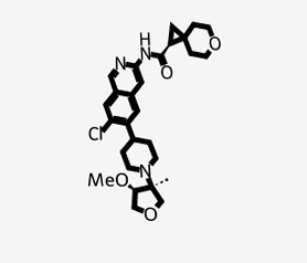 CO[C@@H]1COC[C@]1(C)N1CCC(c2cc3cc(NC(=O)[C@H]4CC45CCOCC5)ncc3cc2Cl)CC1